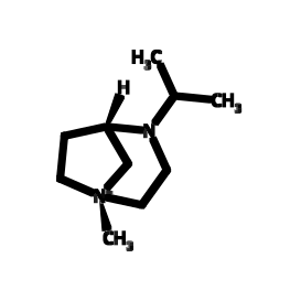 CC(C)N1CC[N@+]2(C)CC[C@H]1C2